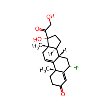 C[C@]12CCC(=O)C=C1[C@@H](F)C[C@@H]1C2=CC[C@@]2(C)[C@H]1CC[C@]2(O)C(=O)CO